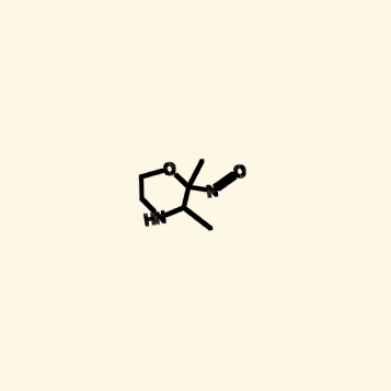 CC1NCCOC1(C)N=O